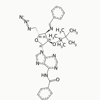 CC(C)(C)[Si](C)(C)O[C@@H]1[C@H](N=Cc2ccccc2)[C@@H](CN=[N+]=[N-])O[C@H]1n1cnc2c(NC(=O)c3ccccc3)ncnc21